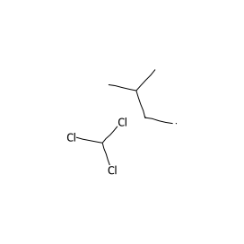 ClC(Cl)Cl.[CH2]CC(C)C